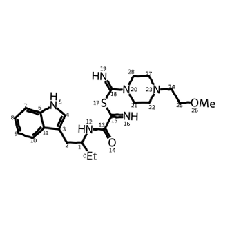 CCC(Cc1c[nH]c2ccccc12)NC(=O)C(=N)SC(=N)N1CCN(CCOC)CC1